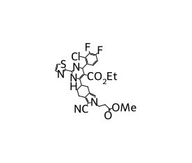 CCOC(=O)C1=C(C2CCc3c(cn(CCC(=O)OC)c3C#N)C2)NC(c2nccs2)=NC1c1ccc(F)c(F)c1Cl